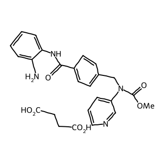 COC(=O)N(Cc1ccc(C(=O)Nc2ccccc2N)cc1)c1cccnc1.O=C(O)CCC(=O)O